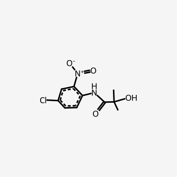 CC(C)(O)C(=O)Nc1ccc(Cl)cc1[N+](=O)[O-]